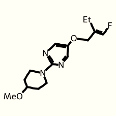 CC/C(=C\F)COc1cnc(N2CCC(OC)CC2)nc1